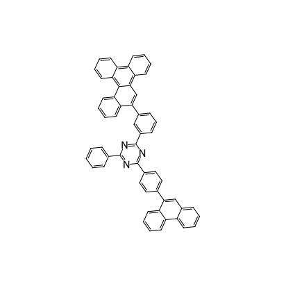 c1ccc(-c2nc(-c3ccc(-c4cc5ccccc5c5ccccc45)cc3)nc(-c3cccc(-c4cc5c6ccccc6c6ccccc6c5c5ccccc45)c3)n2)cc1